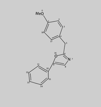 COc1ccc(Cc2ncc(-c3ccccc3)o2)cc1